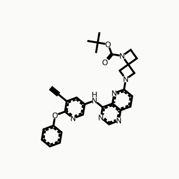 C#Cc1cc(Nc2ncnc3ccc(N4CC5(CCN5C(=O)OC(C)(C)C)C4)nc23)cnc1Oc1ccccc1